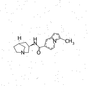 Cc1ccc2cc(C(=O)N[C@@H]3C[C@@H]4CCN(C4)C3)ccn12